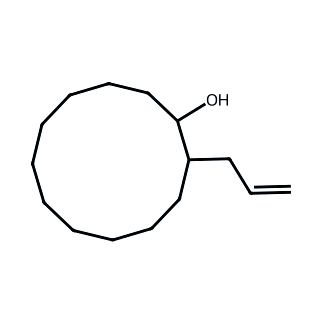 C=CCC1CCCCCCCCCCC1O